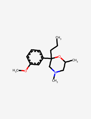 CCCC1(c2cccc(OC)c2)CN(C)CC(C)O1